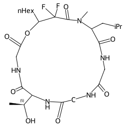 CCCCCCC1OC(=O)CNC(=O)C([C@H](C)O)NC(=O)CNC(=O)CNC(=O)C(CC(C)C)N(C)C(=O)C1(F)F